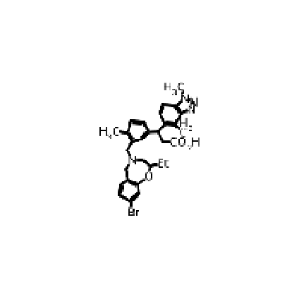 CCC1CN(Cc2cc(C(CC(=O)O)c3ccc4c(nnn4C)c3C)ccc2C)Cc2ccc(Br)cc2O1